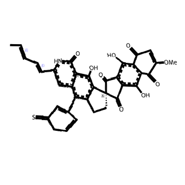 C/C=C/C=C/c1cc2c(C3=CC(=S)CC=C3)c3c(c(O)c2c(=O)[nH]1)[C@@]1(CC3)C(=O)c2c(O)c3c(c(O)c2C1=O)C(=O)C(OC)=CC3=O